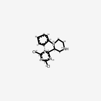 Clc1nc(Cl)nc(C2CNCCN2c2ccccc2)n1